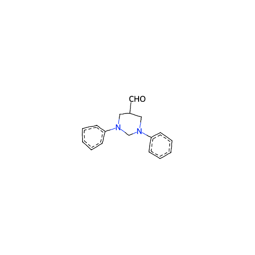 O=CC1CN(c2ccccc2)CN(c2ccccc2)C1